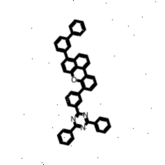 c1ccc(-c2cccc(-c3ccc4c5c(cccc35)-c3cccc(-c5cccc(-c6nc(-c7ccccc7)nc(-c7ccccc7)n6)c5)c3O4)c2)cc1